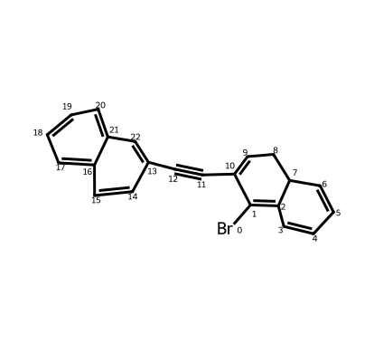 BrC1=C2C=CC=CC2CC=C1C#Cc1ccc2ccccc2c1